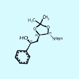 CCCCCCC[C@H]1OC(C)(C)O[C@@H]1C[C@H](O)c1ccccc1